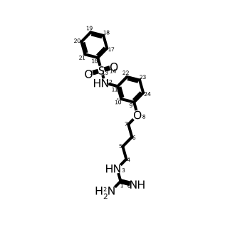 N=C(N)NCCCCOc1[c]c(NS(=O)(=O)c2ccccc2)ccc1